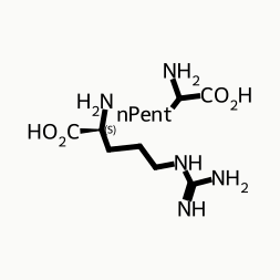 CCCCCC(N)C(=O)O.N=C(N)NCCC[C@H](N)C(=O)O